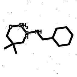 CC1(C)CO[SiH2][SiH](NCC2CCCCC2)C1